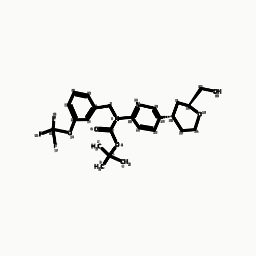 CC(C)(C)OC(=O)N(Cc1cccc(OC(F)(F)F)c1)c1ccc([C@H]2CCO[C@H](CO)C2)cn1